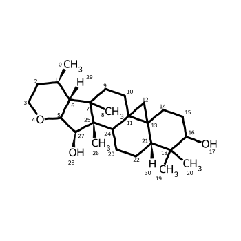 C[C@@H]1CCOC2[C@H]1C1(C)CCC34CC35CCC(O)C(C)(C)[C@@H]5CCC4[C@]1(C)[C@H]2O